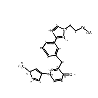 CCOCCn1cnc(-c2cccc(Cc3nn(-c4cnn(C)c4)ccc3=O)c2)n1